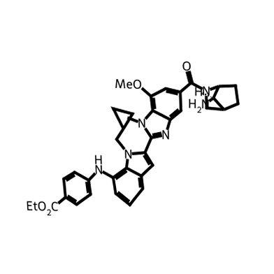 CCOC(=O)c1ccc(Nc2cccc3cc(-c4nc5cc(C(=O)N6CC7CCC6[C@@H]7N)cc(OC)c5n4C)n(CC4CC4)c23)cc1